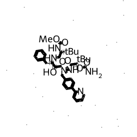 COC(=O)N[C@H](C(=O)N[C@@H](Cc1ccccc1)[C@@H](O)CN(Cc1ccc(-c2ccccn2)cc1)NC(=O)[C@@H](OC(N)=O)C(C)(C)C)C(C)(C)C